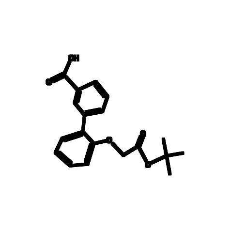 CC(C)(C)OC(=O)COc1ccccc1-c1cccc(C(=O)O)c1